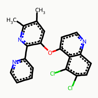 Cc1cc(Oc2ccnc3ccc(Cl)c(Cl)c23)c(-c2ccccn2)nc1C